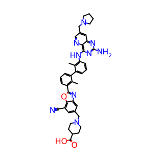 Cc1c(Nc2nc(N)nc3cc(CN4CCCC4)cnc23)cccc1-c1cccc(-c2nc3cc(CN4CCC(C(=O)O)CC4)cc(C#N)c3o2)c1C